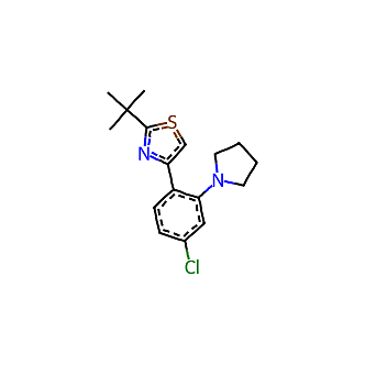 CC(C)(C)c1nc(-c2ccc(Cl)cc2N2CCCC2)cs1